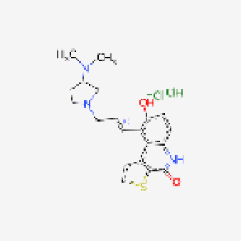 CN(C)C1CCN(C/C=C/c2c(O)ccc3[nH]c(=O)c4sccc4c23)C1.Cl.Cl